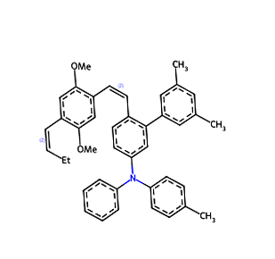 CC/C=C\c1cc(OC)c(/C=C\c2ccc(N(c3ccccc3)c3ccc(C)cc3)cc2-c2cc(C)cc(C)c2)cc1OC